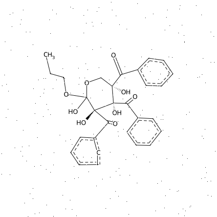 CCCOC1(O)OC[C@@](O)(C(=O)c2ccccc2)[C@@](O)(C(=O)c2ccccc2)[C@]1(O)C(=O)c1ccccc1